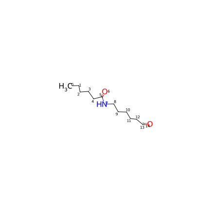 CCCCCC(=O)NCCCCC[C]=O